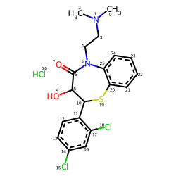 CN(C)CCN1C(=O)C(O)C(c2ccc(Cl)cc2Cl)Sc2ccccc21.Cl